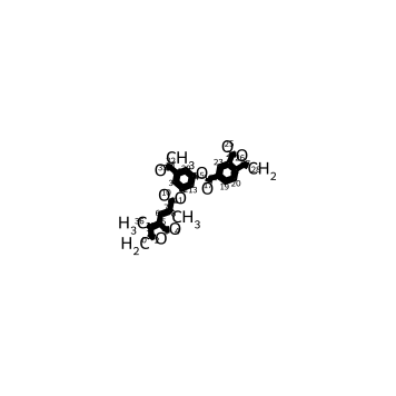 C=C1OC(=O)C(/C=C(\C)C(=O)Oc2cc(OC(=O)c3ccc4c(c3)C(=O)OC4=C)cc(C(C)=O)c2)=C1C